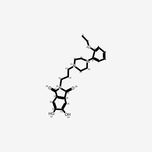 CCOc1ccccc1N1CCN(CCCN2C(=O)c3cc(O)c(O)cc3C2=O)CC1